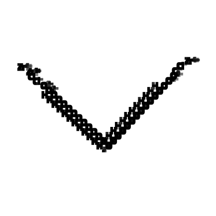 O.O.O.O.O.O.O.O.O.O.O.O.O.O.O.O.O.O.O.O.O.O.O.O.[Cl-].[Cl-].[Cl-].[Cl-].[O-2].[O-2].[O-2].[O-2].[Zr+4].[Zr+4].[Zr+4]